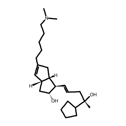 CN(C)CCCCCC1=C[C@H]2C[C@@H](O)[C@H](/C=C/C[C@](C)(O)C3CCCC3)[C@H]2C1